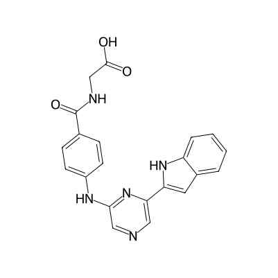 O=C(O)CNC(=O)c1ccc(Nc2cncc(-c3cc4ccccc4[nH]3)n2)cc1